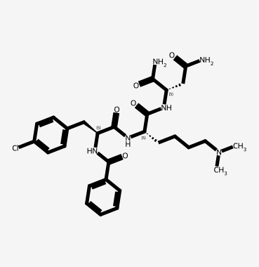 CN(C)CCCC[C@H](NC(=O)[C@H](Cc1ccc(Cl)cc1)NC(=O)c1ccccc1)C(=O)N[C@@H](CC(N)=O)C(N)=O